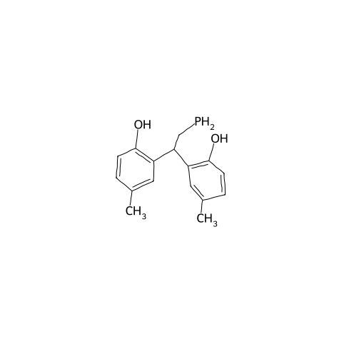 Cc1ccc(O)c(C(CP)c2cc(C)ccc2O)c1